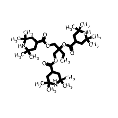 CCC(COC(=O)C1CC(C)(C)NC(C)(C)C1)(COC(=O)C1CC(C)(C)NC(C)(C)C1)OC(=O)C1CC(C)(C)NC(C)(C)C1